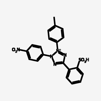 Cc1ccc(-[n+]2nc(-c3ccccc3S(=O)(=O)O)nn2-c2ccc([N+](=O)[O-])cc2)cc1